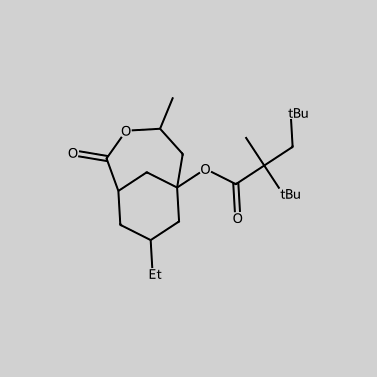 CCC1CC2CC(OC(=O)C(C)(CC(C)(C)C)C(C)(C)C)(C1)CC(C)OC2=O